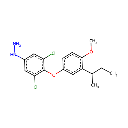 CCC(C)c1cc(Oc2c(Cl)cc(NN)cc2Cl)ccc1OC